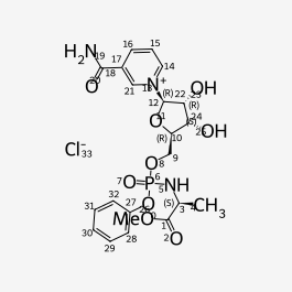 COC(=O)[C@H](C)NP(=O)(OC[C@H]1O[C@@H]([n+]2cccc(C(N)=O)c2)[C@H](O)[C@@H]1O)Oc1ccccc1.[Cl-]